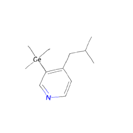 CC(C)Cc1ccnc[c]1[Ge]([CH3])([CH3])[CH3]